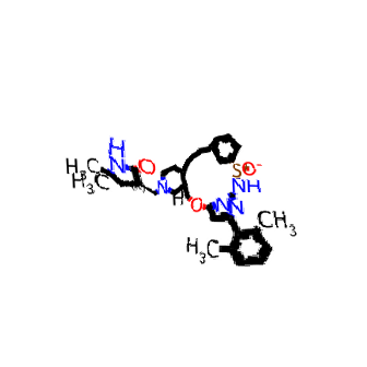 Cc1cccc(C)c1-c1cc2nc(n1)N[S+]([O-])c1cccc(c1)CCC1CCN(C[C@H]3CC(C)(C)NC3=O)C[C@@H]1CO2